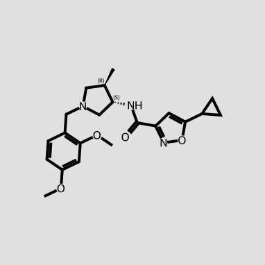 COc1ccc(CN2C[C@@H](C)[C@H](NC(=O)c3cc(C4CC4)on3)C2)c(OC)c1